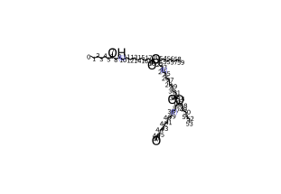 CCCCCCC(O)C/C=C/CCCCCCCC(=O)OC(C/C=C/CCCCCCCC(=O)OC(C/C=C/CCCCCCCC=O)CCCCCC)CCCCCC